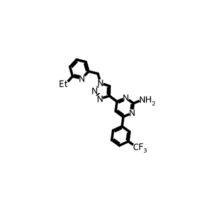 CCc1cccc(Cn2cc(-c3cc(-c4cccc(C(F)(F)F)c4)nc(N)n3)nn2)n1